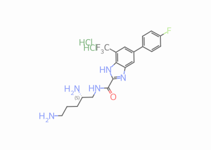 Cl.Cl.NCCC[C@H](N)CNC(=O)c1nc2cc(-c3ccc(F)cc3)cc(C(F)(F)F)c2[nH]1